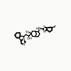 CCC1(C(O)CC2c3ccccc3-c3cncn32)CC2CCC(Nc3nc4ccc(F)cc4s3)C(C2)C1